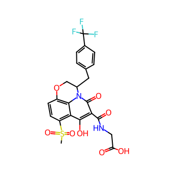 CS(=O)(=O)c1ccc2c3c1c(O)c(C(=O)NCC(=O)O)c(=O)n3C(Cc1ccc(C(F)(F)F)cc1)CO2